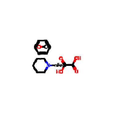 CCCCCN1CCCCC1.O=C(O)C(=O)O.c1cc2ccc1CO2